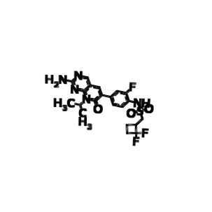 CC(C)n1c(=O)c(-c2ccc(NS(=O)(=O)CC3CCC3(F)F)c(F)c2)cc2cnc(N)nc21